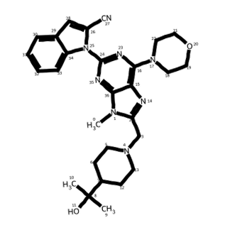 Cn1c(CN2CCC(C(C)(C)O)CC2)nc2c(N3CCOCC3)nc(-n3c(C#N)cc4ccccc43)nc21